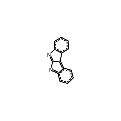 c1ccc2c(c1)N=C1N=c3ccccc3=C12